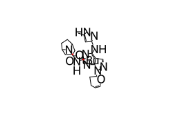 Cc1cc(Nc2nc(NC3CC4CCC(C3)N4C(=O)OC(C)(C)C)nc3c2cnn3C2CCC=CO2)n[nH]1